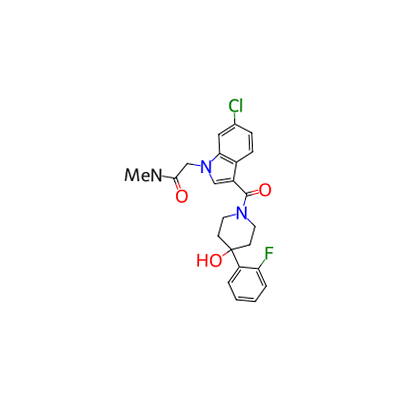 CNC(=O)Cn1cc(C(=O)N2CCC(O)(c3ccccc3F)CC2)c2ccc(Cl)cc21